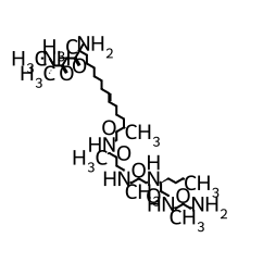 CCCC[C@H](NCC(=O)[C@H](C)NCCC(=O)[C@H](C)NCC(=O)[C@H](C)CCC/C=C/CCCCCC[C@@](C)(N)C(=O)CC(=O)[C@H](C)NC)C(=O)CN[C@@H](C)C(=O)CN